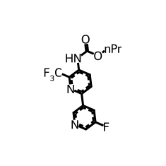 CCCOC(=O)Nc1ccc(-c2cncc(F)c2)nc1C(F)(F)F